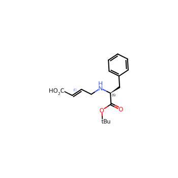 CC(C)(C)OC(=O)[C@H](Cc1ccccc1)NC/C=C/C(=O)O